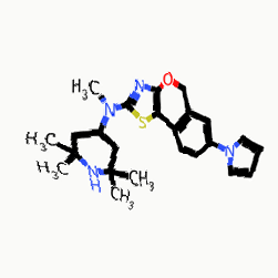 CN(c1nc2c(s1)-c1ccc(-n3cccc3)cc1CO2)C1CC(C)(C)NC(C)(C)C1